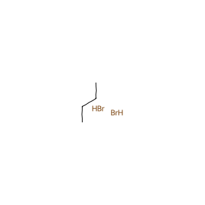 Br.Br.CCCC